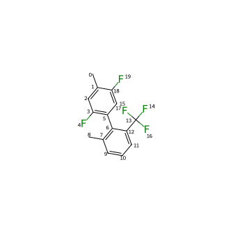 Cc1cc(F)c(-c2c(C)cccc2C(F)(F)F)cc1F